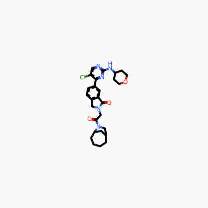 O=C1c2cc(-c3nc(NC4CCOCC4)ncc3Cl)ccc2CN1CC(=O)N1CC2CCCCC1C2